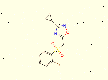 O=S(=O)(Cc1nc(C2CC2)no1)c1ccccc1Br